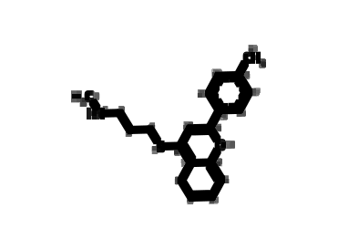 CNCCCSC1=C2CC=CC=C2OC(c2ccc(C)cc2)=C1